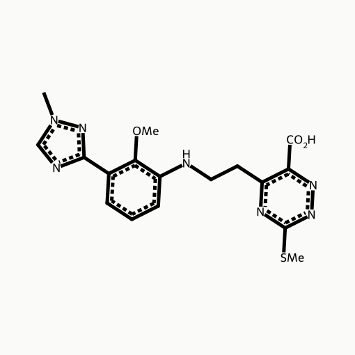 COc1c(NCCc2nc(SC)nnc2C(=O)O)cccc1-c1ncn(C)n1